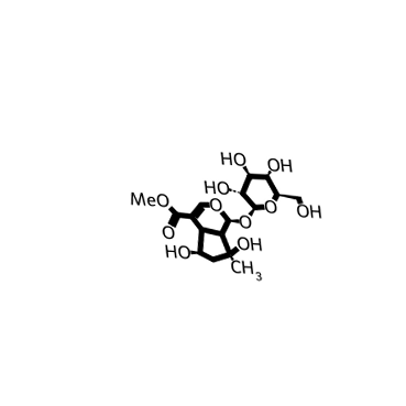 COC(=O)C1=CO[C@@H](O[C@@H]2O[C@H](CO)[C@@H](O)[C@H](O)[C@H]2O)C2C1[C@H](O)C[C@]2(C)O